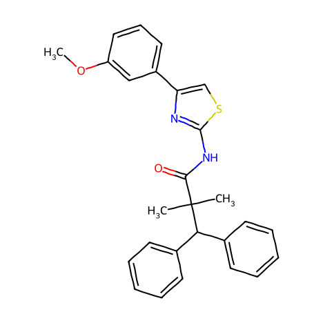 COc1cccc(-c2csc(NC(=O)C(C)(C)C(c3ccccc3)c3ccccc3)n2)c1